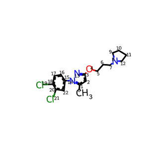 Cc1cc(OCCCN2CCCC2)nn1-c1ccc(Cl)c(Cl)c1